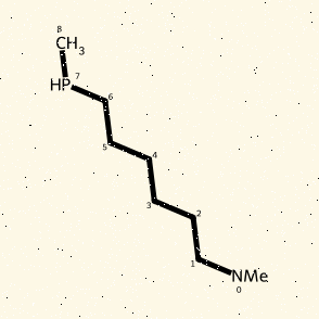 CNCCCCCCPC